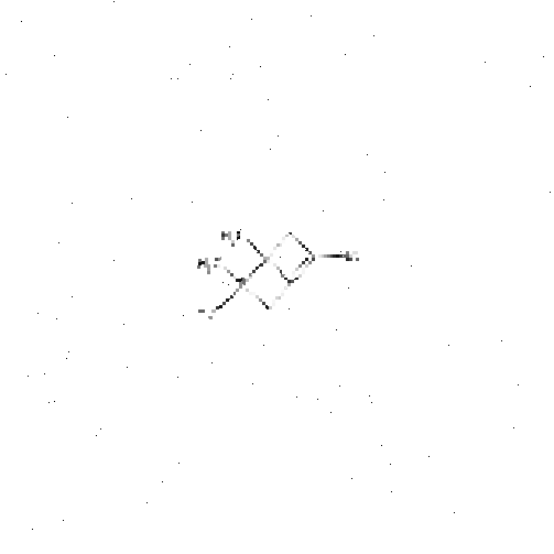 CCC1=C2C[PH](C)(C)C2(C)C1